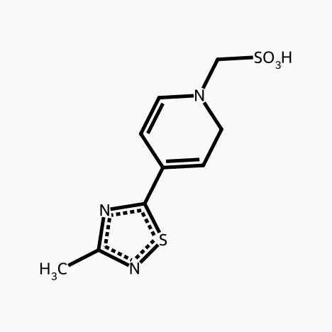 Cc1nsc(C2=CCN(CS(=O)(=O)O)C=C2)n1